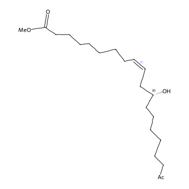 COC(=O)CCCCCCC/C=C\C[C@H](O)CCCCCCC(C)=O